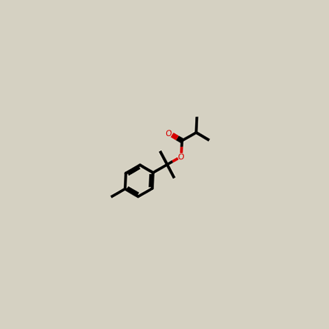 Cc1ccc(C(C)(C)OC(=O)C(C)C)cc1